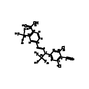 N#Cc1c(Cl)cc(C(C=Cc2ccc(C(=O)O)c(C(F)(F)F)c2)C(F)(F)F)cc1Cl